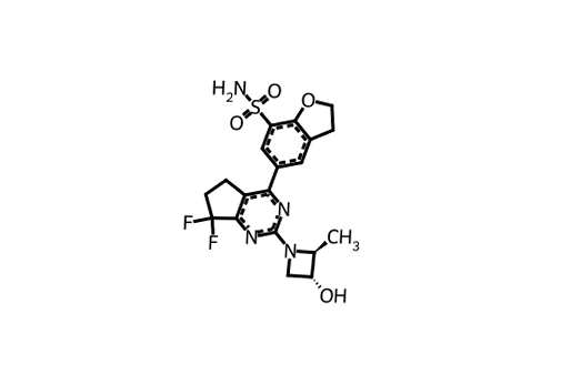 C[C@H]1[C@H](O)CN1c1nc(-c2cc3c(c(S(N)(=O)=O)c2)OCC3)c2c(n1)C(F)(F)CC2